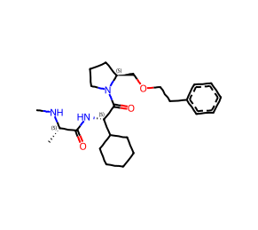 CN[C@@H](C)C(=O)N[C@H](C(=O)N1CCC[C@H]1COCCc1ccccc1)C1CCCCC1